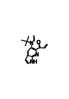 C=CC(=O)c1nc2[nH]ccc2cc1N(C=C)C(C)(C)C